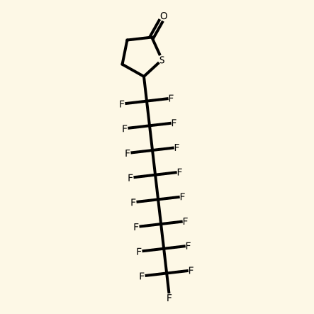 O=C1CCC(C(F)(F)C(F)(F)C(F)(F)C(F)(F)C(F)(F)C(F)(F)C(F)(F)C(F)(F)F)S1